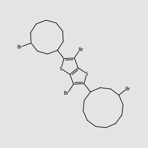 Brc1c(C2CCCCCCCCC(Br)CC2)sc2c(Br)c(C3CCCCCCC(Br)CC3)sc12